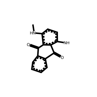 CNc1ccc([NH])c2c1C(=O)c1ccccc1C2=O